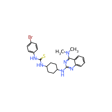 CN(C)c1nc(NC2CCC(NC(=S)Nc3ccc(Br)cc3)CC2)nc2ccccc12